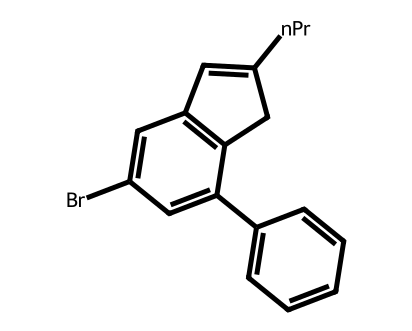 CCCC1=Cc2cc(Br)cc(-c3ccccc3)c2C1